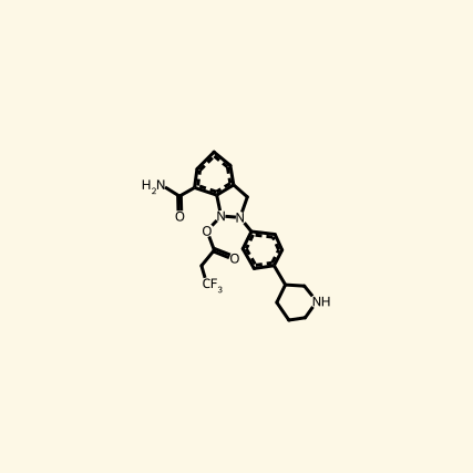 NC(=O)c1cccc2c1N(OC(=O)CC(F)(F)F)N(c1ccc(C3CCCNC3)cc1)C2